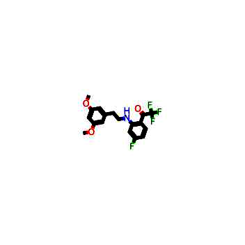 COc1cc(CCNc2cc(F)ccc2C(=O)C(F)(F)F)cc(OC)c1